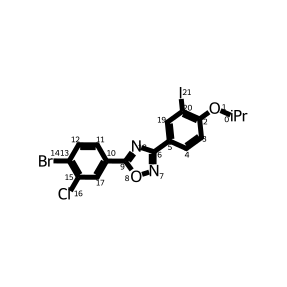 CC(C)Oc1ccc(-c2noc(-c3ccc(Br)c(Cl)c3)n2)cc1I